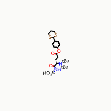 CC(C)(C)N([C@@H](CCC(=O)Oc1ccc(C2SCCCS2)cc1)C(=O)NC(=O)O)C(C)(C)C